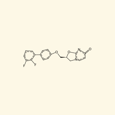 O=c1ccn2c(n1)O[C@H](COc1ccc(-c3cccc(F)c3F)cc1)C2